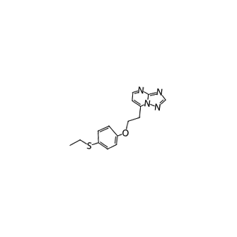 CCSc1ccc(OCCc2ccnc3ncnn23)cc1